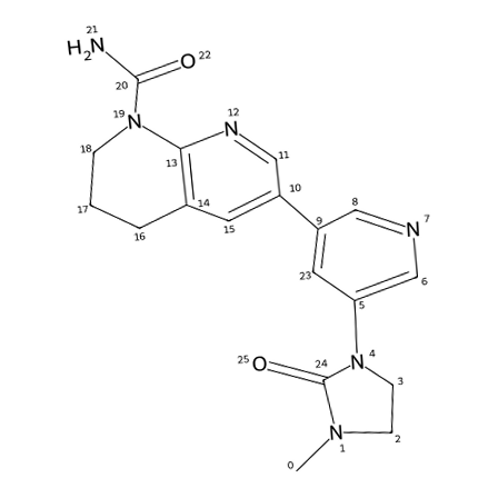 CN1CCN(c2cncc(-c3cnc4c(c3)CCCN4C(N)=O)c2)C1=O